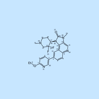 CCOc1ccc(-c2ccc3ncc4c(c3c2)n([C@@H]2CCN(C)CC2(F)F)c(=O)n4C)cn1